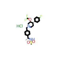 C[C@@H](NS(C)(=O)=O)c1ccc(CN2CC[C@@H](c3ccc(F)cc3)[C@H](OC(F)F)C2)cc1.Cl